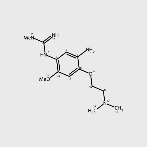 CNC(=N)Nc1cc(N)c(OCCN(C)C)cc1OC